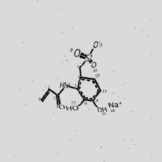 C=CC(=O)Nc1c(CS(=O)(=O)[O-])ccc(O)c1O.[Na+]